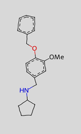 COc1cc(CNC2CCCC2)ccc1OCc1ccccc1